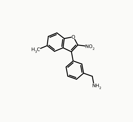 Cc1ccc2oc([N+](=O)[O-])c(-c3cccc(CN)c3)c2c1